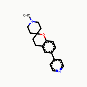 O=CN1CCC2(CCc3cc(-c4ccncc4)ccc3O2)CC1